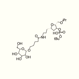 CC(C)OC[C@H]1O[C@@H](CCCNC(=O)CCCCO[C@H]2O[C@H](CO)[C@@H](O)[C@H](O)[C@@H]2O)CC1OP(=O)(O)OC(C)(C)C